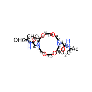 CC(=O)C(NC(=O)CN1CCOCCOCCN(CC(=O)NC(C=O)C=O)CCOCCOCC1)C(=O)O